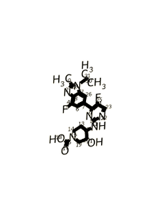 Cc1nc2c(F)cc(-c3nc(NC4CCN(C(=O)O)CC4O)ncc3F)cc2n1C(C)C